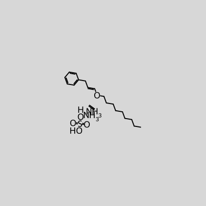 C=C.CCCCCCCCCOC=CCc1ccccc1.N.N.O=S(=O)(O)O